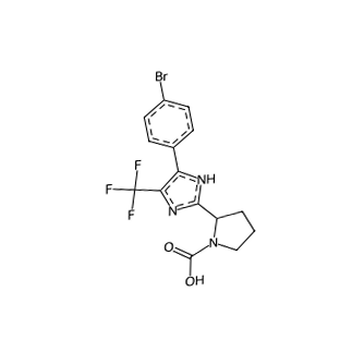 O=C(O)N1CCCC1c1nc(C(F)(F)F)c(-c2ccc(Br)cc2)[nH]1